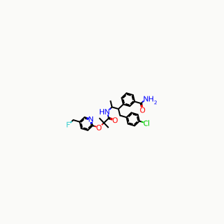 CC(NC(=O)C(C)(C)Oc1ccc(CF)cn1)C(Cc1ccc(Cl)cc1)c1cccc(C(N)=O)c1